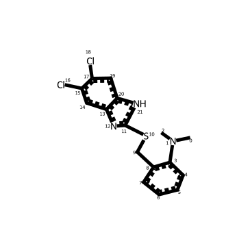 CN(C)c1ccccc1CSc1nc2cc(Cl)c(Cl)cc2[nH]1